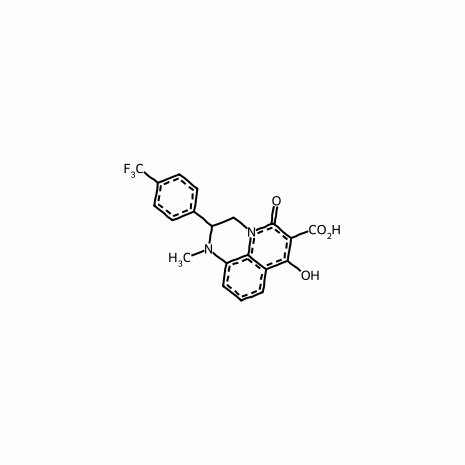 CN1c2cccc3c(O)c(C(=O)O)c(=O)n(c23)CC1c1ccc(C(F)(F)F)cc1